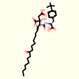 CCCCCCCC(=O)CCCCCC/C=C/[C@H](C(=O)N[C@@H](Cc1ccc(C(C)(C)C)cc1)C(=O)O)[C@@](O)(CC(=O)O)C(=O)O